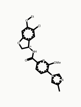 CCOc1cc2c(cc1Cl)[C@@H](NC(=O)c1ccc(-n3cnc(C)c3)c(OC)n1)CO2